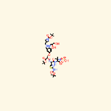 CC(C)(C)OC(=O)Nc1nc(C(=NOC(COc2ccc3c(c2)cn(CC2CN(C(=O)OC(C)(C)C)C2)[n+]3CC(O)CO)C(=O)OC(C)(C)C)C(=O)NC2C(=O)N(OS(=O)(=O)O)C2(C)C)cs1